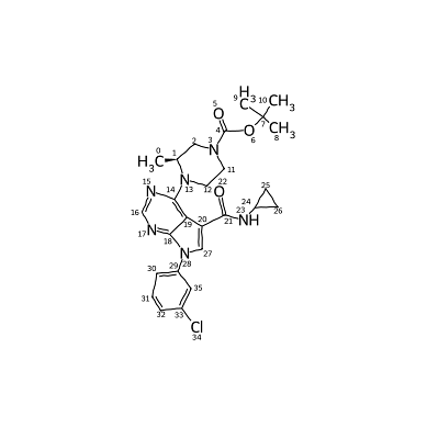 C[C@H]1CN(C(=O)OC(C)(C)C)CCN1c1ncnc2c1c(C(=O)NC1CC1)cn2-c1cccc(Cl)c1